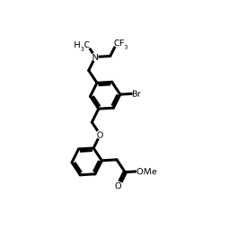 COC(=O)Cc1ccccc1OCc1cc(Br)cc(CN(C)CC(F)(F)F)c1